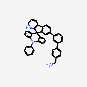 NCc1ccc(-c2cccc(-c3ccc4c(c3)C3(C5=C4C=CCN5)c4ccccc4N(c4ccccc4)c4ccccc43)c2)cc1